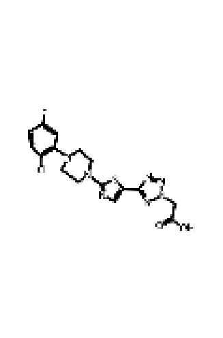 O=C(O)Cn1nnc(-c2cnc(N3CCN(c4cc(F)ccc4Cl)CC3)s2)n1